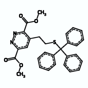 COC(=O)c1cc(CCSC(c2ccccc2)(c2ccccc2)c2ccccc2)c(C(=O)OC)nn1